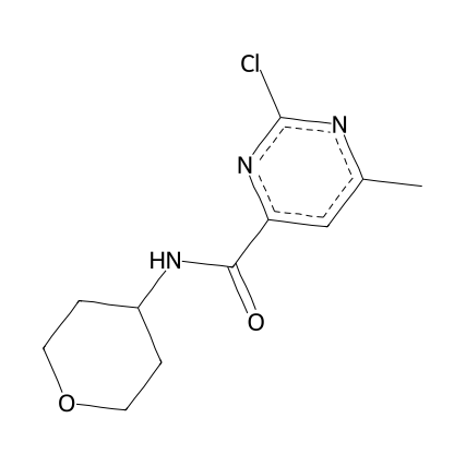 Cc1cc(C(=O)NC2CCOCC2)nc(Cl)n1